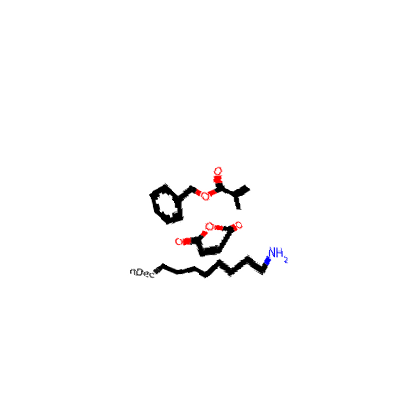 C=C(C)C(=O)OCc1ccccc1.CCCCCCCCCCCCCCCCCCN.O=C1C=CC(=O)O1